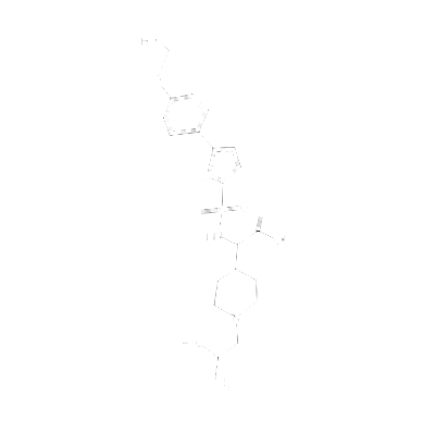 CCOc1ccc(-c2ccc(S(=O)(=O)NC(C(=O)O)C3CCN(CC(C)C)CC3)s2)cc1